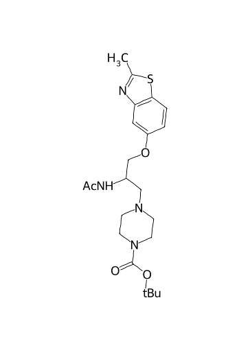 CC(=O)NC(COc1ccc2sc(C)nc2c1)CN1CCN(C(=O)OC(C)(C)C)CC1